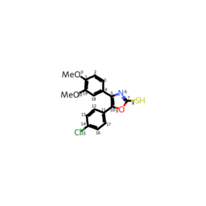 COc1ccc(-c2nc(S)oc2-c2ccc(Cl)cc2)cc1OC